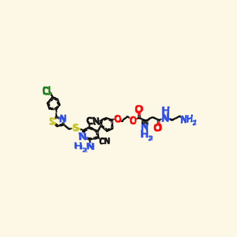 N#Cc1c(N)nc(SCc2csc(-c3ccc(Cl)cc3)n2)c(C#N)c1-c1ccc(OCCOC(=O)[C@@H](N)CC(=O)NCCN)cc1